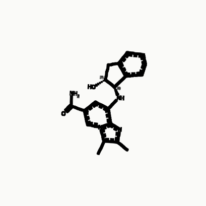 Cc1nc2c(N[C@@H]3c4ccccc4C[C@H]3O)cc(C(N)=O)cn2c1C